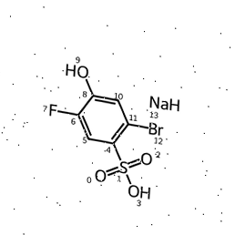 O=S(=O)(O)c1cc(F)c(O)cc1Br.[NaH]